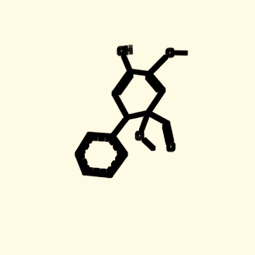 COC1=CC(C=O)(OC)C(c2ccccc2)C=C1O